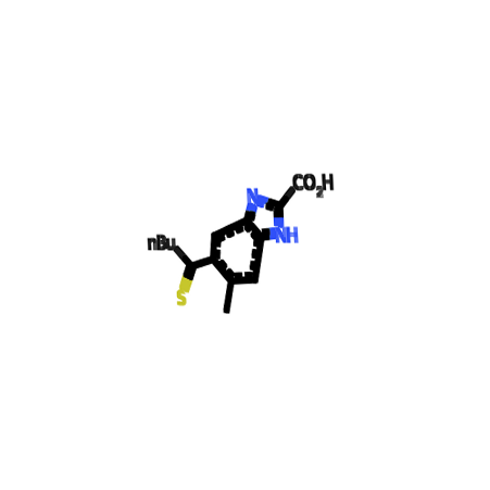 CCCCC(=S)c1cc2nc(C(=O)O)[nH]c2cc1C